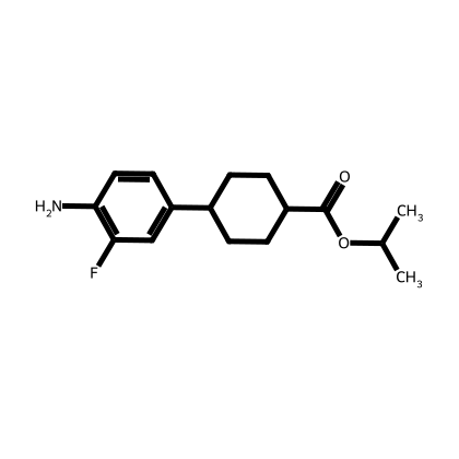 CC(C)OC(=O)C1CCC(c2ccc(N)c(F)c2)CC1